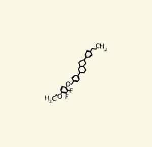 CCCc1ccc(C2CCC3CC(c4ccc(COc5ccc(OCC)c(F)c5F)cc4)CCC3C2)cc1